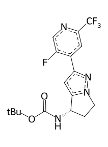 CC(C)(C)OC(=O)N[C@H]1CCn2nc(-c3cc(C(F)(F)F)ncc3F)cc21